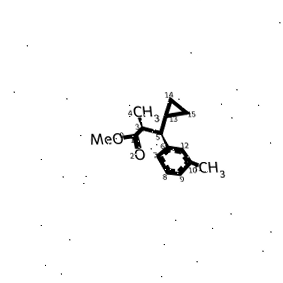 COC(=O)[C@@H](C)[C@H](c1cccc(C)c1)C1CC1